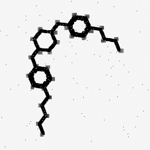 CCCCCc1ccc(CC2CCC(Cc3ccc(CCCC)cc3)CC2)cc1